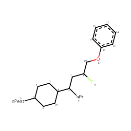 CCCCCC1CCC(C(CCC)CC(F)COc2ccccc2)CC1